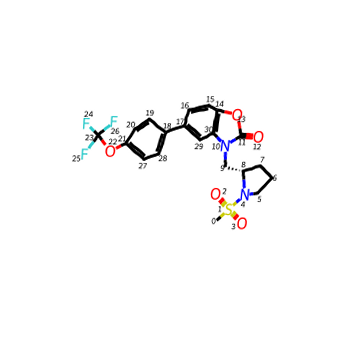 CS(=O)(=O)N1CCC[C@H]1Cn1c(=O)oc2ccc(-c3ccc(OC(F)(F)F)cc3)cc21